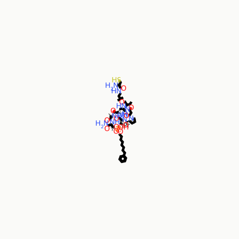 CC(C)C[C@H](NC(=O)[C@@H]1CCCN1C(=O)CCOC(C)CCOC(C)(C)CCNC(=O)[C@@H](N)CS)C(=O)N[C@@H](Cc1cnc[nH]1)C(=O)N[C@@H](C)C(=O)N[C@H](C(N)=O)[C@@H](C)OP(=O)(O)OCCCCCCCCc1ccccc1